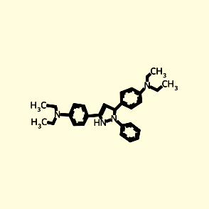 CCN(CC)c1ccc(C2=CC(c3ccc(N(CC)CC)cc3)N(c3ccccc3)N2)cc1